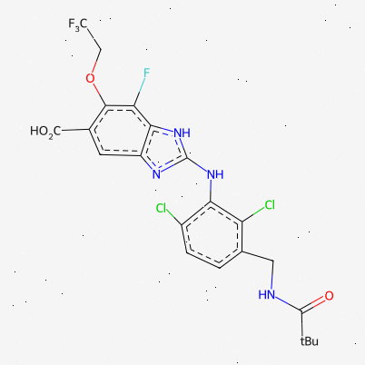 CC(C)(C)C(=O)NCc1ccc(Cl)c(Nc2nc3cc(C(=O)O)c(OCC(F)(F)F)c(F)c3[nH]2)c1Cl